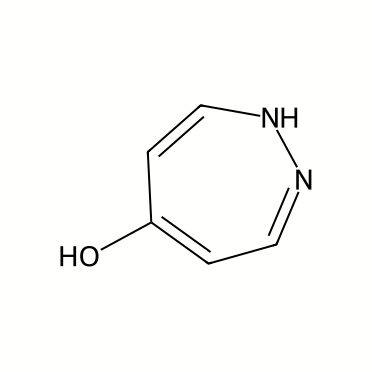 OC1=CC=NNC=C1